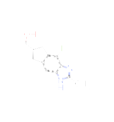 Cc1nc2c(F)c3c(cc2[nH]1)CC(CO)C3